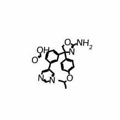 CC(C)Oc1ccc(C2(c3cccc(-c4cncnc4)c3)COC(N)=N2)cc1.O=CO